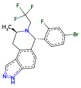 C[C@@H]1Cc2c(ccc3[nH]ncc23)[C@@H](c2ccc(Br)cc2F)N1CC(F)(F)F